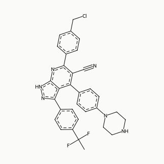 CC(F)(F)c1ccc(-c2n[nH]c3nc(-c4ccc(CCl)cc4)c(C#N)c(-c4ccc(N5CCNCC5)cc4)c23)cc1